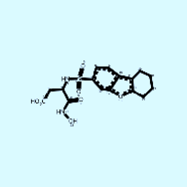 O=C(O)CC(NS(=O)(=O)c1ccc2c3c(oc2c1)CCCC3)C(=O)NO